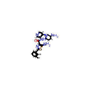 Cc1cccc(-c2nc(C(=O)Nc3cnccc3N3CCC[C@H](N)C3)c(N)s2)c1